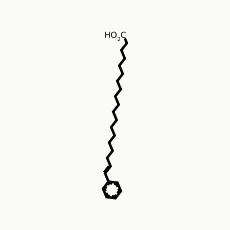 O=C(O)CCCCCCCCCCCCCCCCC=Cc1ccccc1